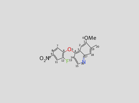 COc1cc2c(Oc3ccc([N+](=O)[O-])cc3F)ccnc2cc1C